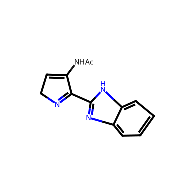 CC(=O)NC1=CCN=C1c1nc2ccccc2[nH]1